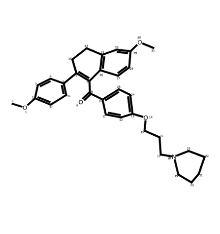 COc1ccc(C2=C(C(=O)c3ccc(OCCCN4CCCCC4)cc3)c3ccc(OC)cc3CC2)cc1